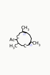 CC(=O)C1CC/C(C)=C\CC/C(C)=C\CCC1C